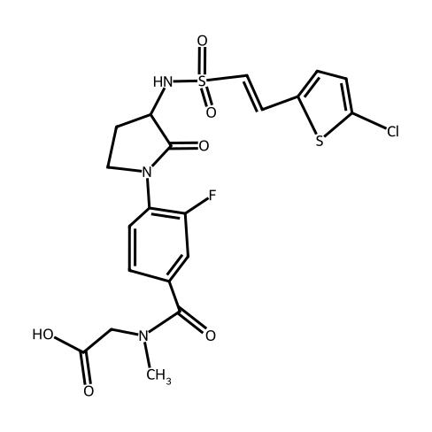 CN(CC(=O)O)C(=O)c1ccc(N2CCC(NS(=O)(=O)C=Cc3ccc(Cl)s3)C2=O)c(F)c1